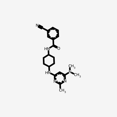 Cc1nc(NC2CCC(NC(=O)c3cccc(C#N)c3)CC2)cc(N(C)C)n1